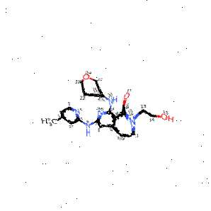 Cc1ccnc(Nc2cc3ccn(CCO)c(=O)c3c(N[C@H]3CCOC3)n2)c1